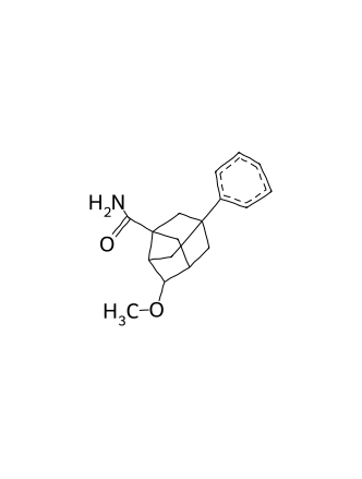 COC1C2CC3(c4ccccc4)CC1C(C(N)=O)(C2)C3